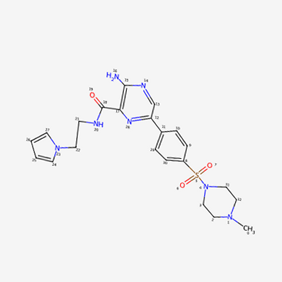 CN1CCN(S(=O)(=O)c2ccc(-c3cnc(N)c(C(=O)NCCn4cccc4)n3)cc2)CC1